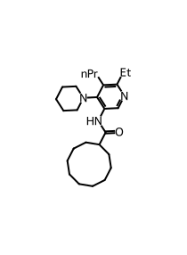 CCCc1c(CC)ncc(NC(=O)C2CCCCCCCCC2)c1N1CCCCC1